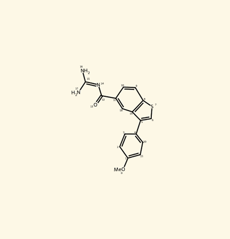 COc1ccc(-c2csc3ccc(C(=O)N=C(N)N)cc23)cc1